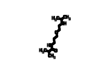 CC(C)NCCOCCCNC(=O)C(C)C